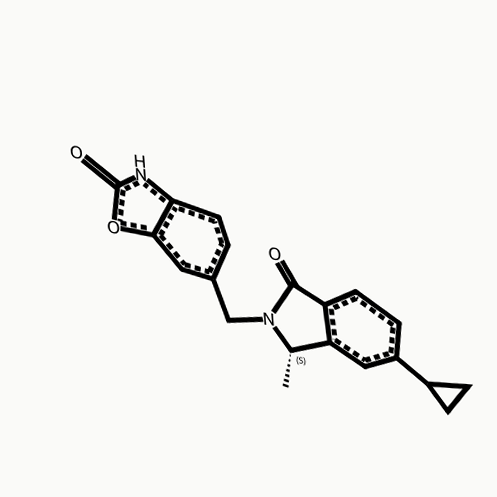 C[C@H]1c2cc(C3CC3)ccc2C(=O)N1Cc1ccc2[nH]c(=O)oc2c1